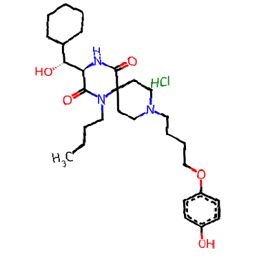 CCCCN1C(=O)[C@@H]([C@H](O)C2CCCCC2)NC(=O)C12CCN(CCCCOc1ccc(O)cc1)CC2.Cl